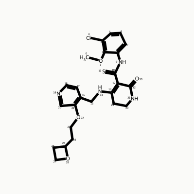 COc1c(Cl)cccc1NC(=S)C1=C(NCc2ccncc2OCCC2CCO2)CCNC1=O